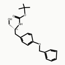 CC(C)(C)OC(=O)N[C@@H](CO)Cc1ccc(OCc2ccccc2)cc1